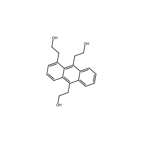 OCCc1c2ccccc2c(CCO)c2c(CCO)cccc12